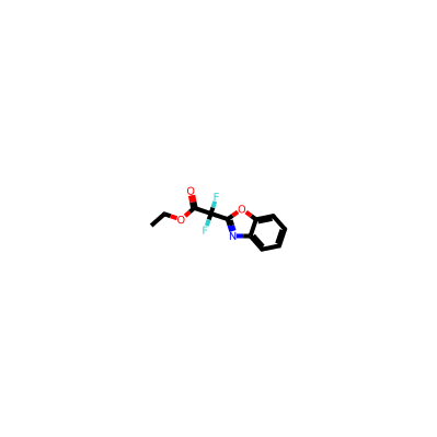 CCOC(=O)C(F)(F)c1nc2ccccc2o1